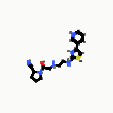 N#CC1CCCN1C(=O)CNCCNc1nc(-c2cccnc2)cs1